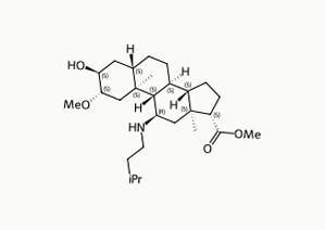 COC(=O)[C@H]1CC[C@H]2[C@@H]3CC[C@H]4C[C@H](O)[C@@H](OC)C[C@]4(C)[C@H]3[C@H](NCCC(C)C)C[C@]12C